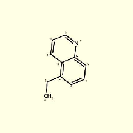 CCc1cccc2ncccc12